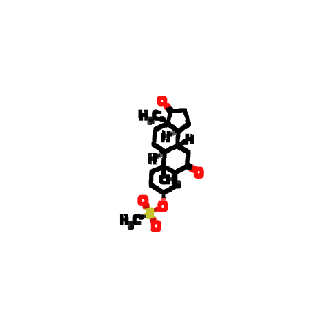 C[C@]12CC[C@@H](OS(C)(=O)=O)CC1C(=O)C[C@@H]1[C@@H]2CC[C@]2(C)C(=O)CC[C@@H]12